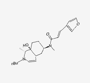 CCCCN1C=CC2C[C@H](N(C)C(=O)/C=C/c3ccoc3)CC[C@@]2(O)[C@H]1C